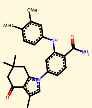 COc1ccc(Nc2cc(-n3cc(C)c4c3CC(C)(C)CC4=O)ccc2C(N)=O)cc1OC